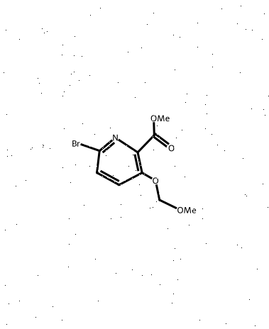 COCOc1ccc(Br)nc1C(=O)OC